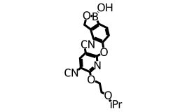 [C-]#[N+]c1cc(C#N)c(Oc2ccc3c(c2)COB3O)nc1OCCOC(C)C